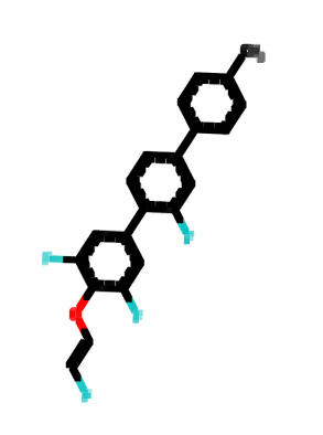 Cc1ccc(-c2ccc(-c3cc(F)c(O/C=C/F)c(F)c3)c(F)c2)cc1